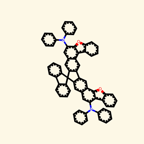 c1ccc(N(c2ccccc2)c2cc3cc4c(cc3c3c2oc2ccccc23)-c2cc3c(cc2C42c4ccccc4-c4ccccc42)cc(N(c2ccccc2)c2ccccc2)c2c4ccccc4oc32)cc1